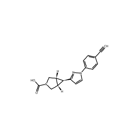 C#Cc1ccc(-n2ccc([C@H]3[C@@H]4CN(C(=O)O)C[C@@H]43)n2)cc1